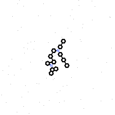 c1ccc(-c2ccc(-c3ccc(N(c4ccc(-c5ccccc5)cc4)c4cccc(-c5cccc(-c6cccc7c6c6ccccc6n7-c6cc7ccccc7c7ccccc67)c5)c4)cc3)cc2)cc1